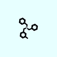 Cc1cccc(CN(Cc2ccccc2)Cc2ccccc2)c1